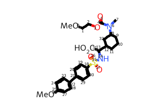 COCCOC(=O)N(C)C1CCCC(C(NS(=O)(=O)c2ccc(-c3ccc(OC)cc3)cc2)C(=O)O)C1